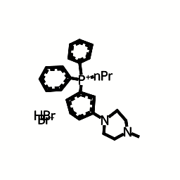 Br.CCC[P+](c1ccccc1)(c1ccccc1)c1cccc(N2CCN(C)CC2)c1.[Br-]